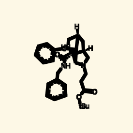 CC(C)(C)OC(=O)CCN1C[C@@H]2C[C@H]3CN[C@]2(C(=O)NCc2ccccc2)C1[C@@H]3Cc1ccccc1